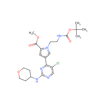 COC(=O)c1cc(-c2nc(NC3CCOCC3)ncc2Cl)cn1CCNC(=O)OC(C)(C)C